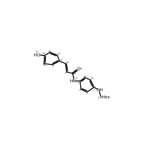 CCCCCCNc1ccc(NC(=O)C=Cc2ccc(O)cc2)cc1